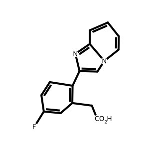 O=C(O)Cc1cc(F)ccc1-c1cn2ccccc2n1